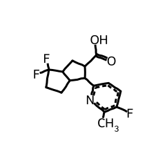 Cc1nc(C2C(C(=O)O)CC3C2CCC3(F)F)ccc1F